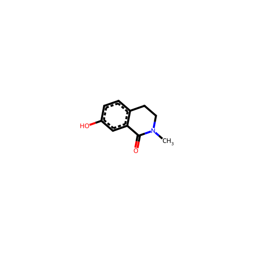 CN1CCc2ccc(O)cc2C1=O